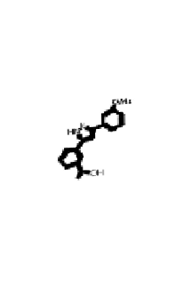 COc1cccc(-c2cc(-c3cccc(C(C)O)c3)[nH]n2)c1